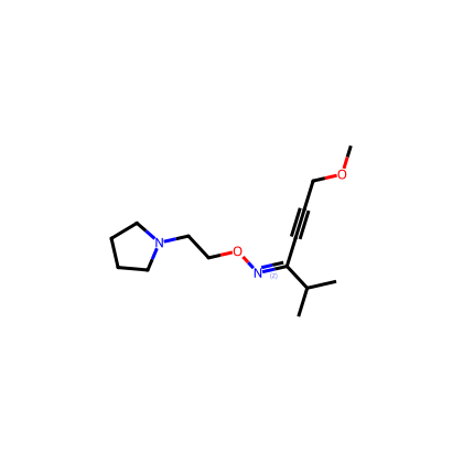 COCC#C/C(=N\OCCN1CCCC1)C(C)C